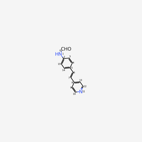 O=CNc1ccc(/C=C/c2ccncc2)cc1